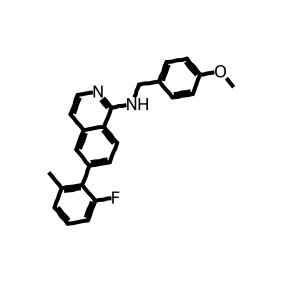 COc1ccc(CNc2nccc3cc(-c4c(C)cccc4F)ccc23)cc1